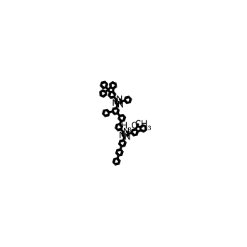 CC1(C)c2ccccc2-c2ccc(-c3nc(-c4ccc(-c5ccc(-c6ccccc6)cc5)cc4)nc(-c4cccc(-c5cccc(-c6cc(-c7ccccc7)cc(-c7nc(-c8ccccc8)nc(-c8ccc9c(c8)-c8ccccc8C9(c8ccccc8)c8ccccc8)n7)c6)c5)c4)n3)cc21